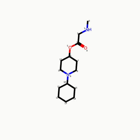 CNCC(=O)OC1CCN(C2CCCCC2)CC1